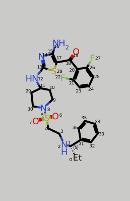 CC[C@H](NCCS(=O)(=O)N1CCC(Nc2nc(N)c(C(=O)c3c(F)cccc3F)s2)CC1)c1ccccc1